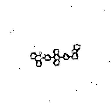 O=c1c2ccccc2c2ccccc2n1-c1ccc(-c2c3ccccc3c(-c3ccc(-c4cccc5c4oc4ccccc45)cc3)c3ccccc23)cc1